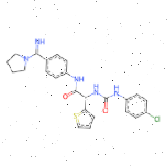 N=C(c1ccc(NC(=O)C(NC(=O)Nc2ccc(Cl)cc2)c2cccs2)cc1)N1CCCC1